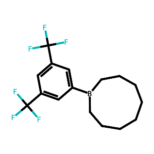 FC(F)(F)c1cc(B2CCCCCCCC2)cc(C(F)(F)F)c1